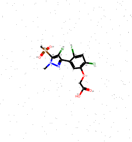 Cn1nc(-c2cc(OCC(=O)O)c(Cl)cc2F)c(Br)c1S(C)(=O)=O